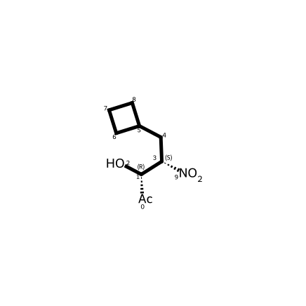 CC(=O)[C@H](O)[C@H](CC1CCC1)[N+](=O)[O-]